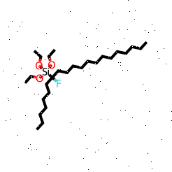 CCCCCCCCCCCCCC(F)(CCCCCCC)[Si](OCC)(OCC)OCC